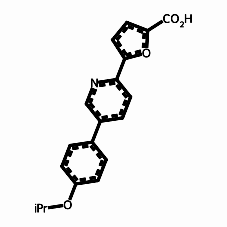 CC(C)Oc1ccc(-c2ccc(-c3ccc(C(=O)O)o3)nc2)cc1